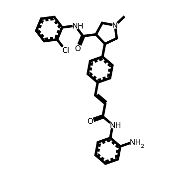 CN1CC(C(=O)Nc2ccccc2Cl)C(c2ccc(/C=C/C(=O)Nc3ccccc3N)cc2)C1